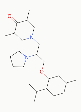 CC1CCC(C(C)C)C(OCC(CN2CC(C)C(=O)C(C)C2)N2CCCC2)C1